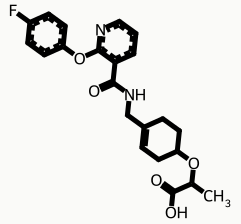 CC(OC1CC=C(CNC(=O)c2cccnc2Oc2ccc(F)cc2)CC1)C(=O)O